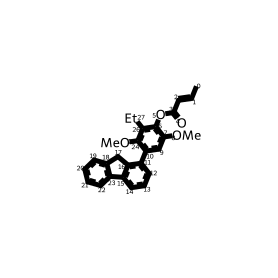 CC=CC(=O)Oc1c(OC)cc(-c2cccc3c2Cc2ccccc2-3)c(OC)c1CC